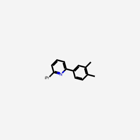 Cc1ccc(-c2cccc(C(C)C)n2)cc1C